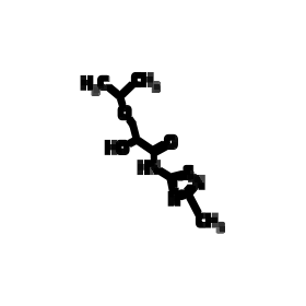 Cc1nsc(NC(=O)C(O)COC(C)C)n1